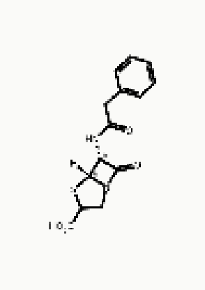 O=C(Cc1ccccc1)N[C@@H]1C(=O)N2CC(C(=O)O)S[C@H]12